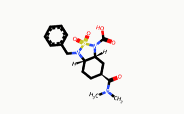 CN(C)C(=O)[C@H]1CC[C@H]2[C@@H](C1)N(C(=O)O)S(=O)(=O)N2Cc1ccccc1